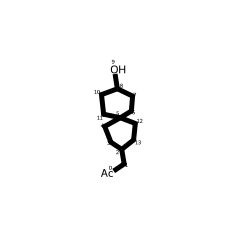 CC(=O)CC1CCC2(CCC(O)CC2)CC1